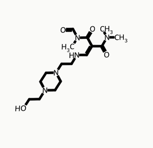 CN(C)C(=O)/C(=C/NCCN1CCN(CCO)CC1)C(=O)N(C)C=O